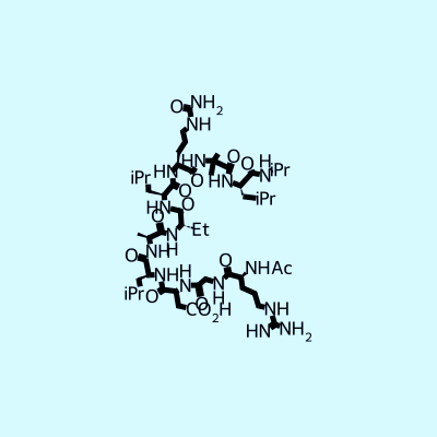 CC[C@H](NC(=O)[C@H](C)NC(=O)[C@H](CC(C)C)NC(=O)C(CC(=O)O)NC(=O)CNC(=O)[C@H](CCCNC(=N)N)NC(C)=O)C(=O)N[C@@H](CC(C)C)C(=O)N[C@@H](CCCNC(N)=O)C(=O)NC(C)(C)C(=O)N[C@@H](CC(C)C)C(=O)NC(C)C